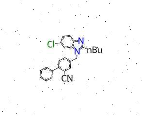 CCCCc1nc2ccc(Cl)cc2n1Cc1ccc(-c2ccccc2)c(C#N)c1